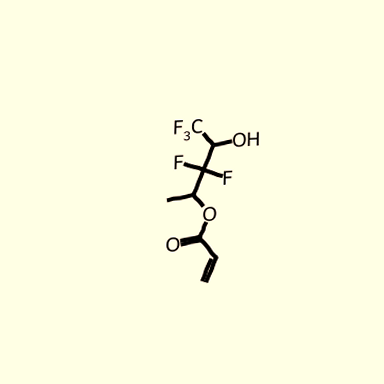 C=CC(=O)OC(C)C(F)(F)C(O)C(F)(F)F